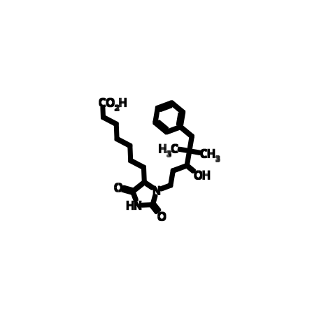 CC(C)(Cc1ccccc1)C(O)CCN1C(=O)NC(=O)C1CCCCCCC(=O)O